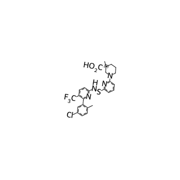 Cc1ccc(Cl)cc1-c1nc(NSc2cccc(N3CCC[C@@](C)(C(=O)O)C3)n2)ccc1C(F)(F)F